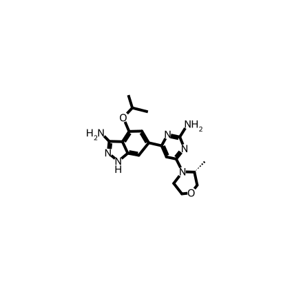 CC(C)Oc1cc(-c2cc(N3CCOC[C@H]3C)nc(N)n2)cc2[nH]nc(N)c12